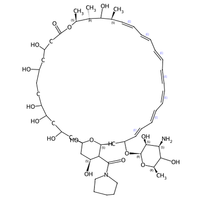 C[C@@H]1OC(=O)CC(O)CC(O)CCC(O)C(O)CC(O)CC2(O)C[C@H](O)C(C(=O)N3CCCCC3)[C@H](CC(O[C@@H]3O[C@H](C)C(O)[C@H](N)[C@@H]3O)/C=C/C=C/C=C/C=C/C=C/C=C/C=C/[C@H](C)C(O)[C@H]1C)O2